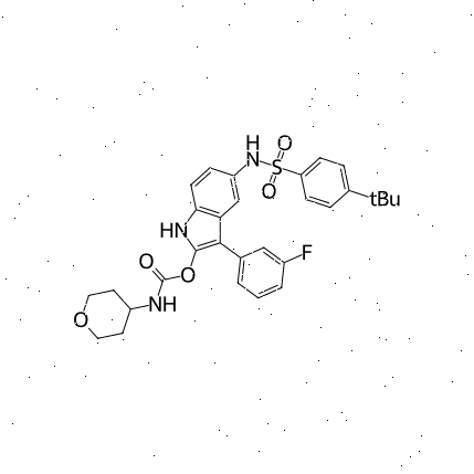 CC(C)(C)c1ccc(S(=O)(=O)Nc2ccc3[nH]c(OC(=O)NC4CCOCC4)c(-c4cccc(F)c4)c3c2)cc1